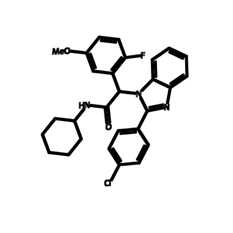 COc1ccc(F)c(C(C(=O)NC2CCCCC2)n2c(-c3ccc(Cl)cc3)nc3ccccc32)c1